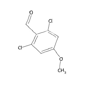 COc1cc(Cl)c(C=O)c(Cl)c1